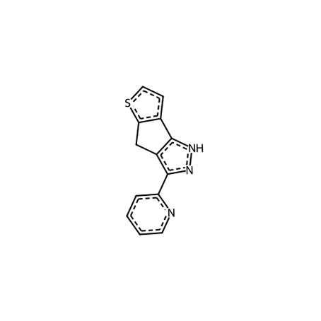 c1ccc(-c2n[nH]c3c2Cc2sccc2-3)nc1